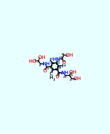 Cc1c(C(=O)NCC(O)O)c(I)c(NC(=O)CO)c(I)c1C(=O)NCC(O)CO